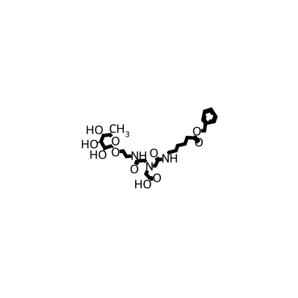 C[C@@H]1O[C@@H](OCCNC(=O)CN(CC(=O)O)CC(=O)NCCCCCC(=O)OCc2ccccc2)[C@@H](O)[C@H](O)[C@@H]1O